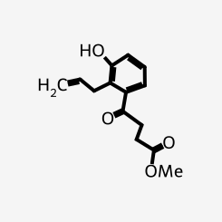 C=CCc1c(O)cccc1C(=O)CCC(=O)OC